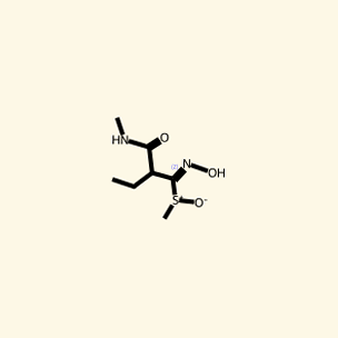 CCC(C(=O)NC)/C(=N/O)[S+](C)[O-]